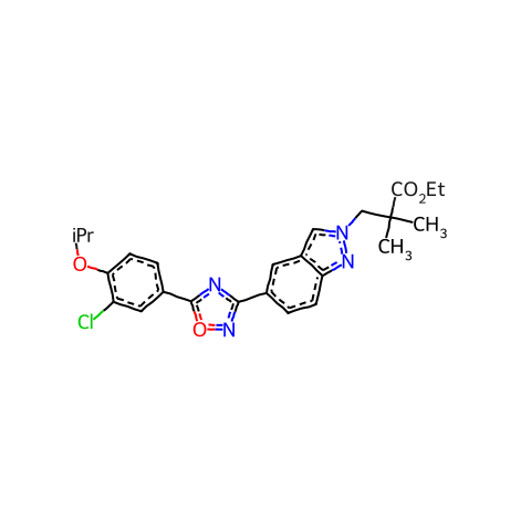 CCOC(=O)C(C)(C)Cn1cc2cc(-c3noc(-c4ccc(OC(C)C)c(Cl)c4)n3)ccc2n1